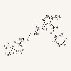 Cn1ncc(NC(=O)NCCNC(=O)OC(C)(C)C)c1NCc1ccccc1